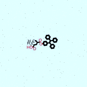 CCC(CC(C)C(=O)O)C(=O)Oc1ccc(C(=C(c2ccccc2)c2ccccc2)c2ccccc2)cc1